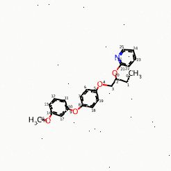 CCC(COc1ccc(Oc2cccc(OC)c2)cc1)Oc1ccccn1